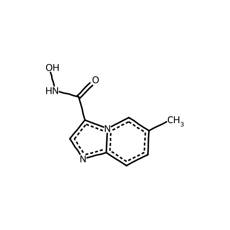 Cc1ccc2ncc(C(=O)NO)n2c1